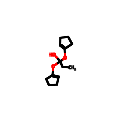 CCC(O)(OC1=CCCC1)OC1=CCCC1